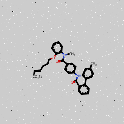 CCOC(=O)C=CCCCOc1ccccc1N(C)C(=O)c1ccc(NC(=O)c2ccccc2-c2ccc(C)cc2)cc1